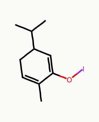 CC1=CCC(C(C)C)C=C1OI